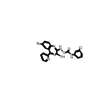 O=C(Nc1cccc(Cl)c1)ONC1=Nc2ccc(Br)cc2C(c2ccccn2)=NC1O